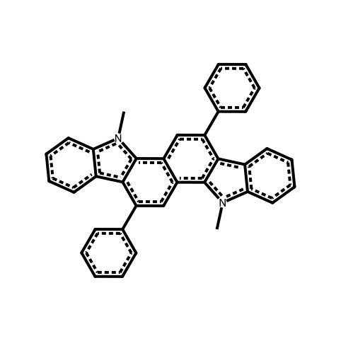 Cn1c2ccccc2c2c(-c3ccccc3)cc3c(cc(-c4ccccc4)c4c5ccccc5n(C)c34)c21